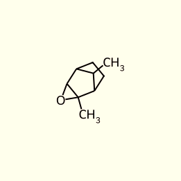 CC1C2CCC1C1(C)OC21